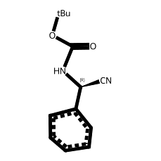 CC(C)(C)OC(=O)N[C@@H](C#N)c1ccccc1